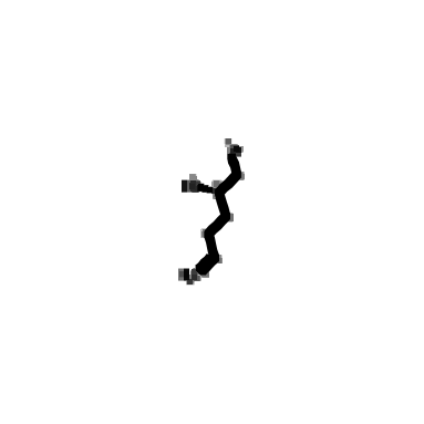 C=CCC[C@H](O)CC(C)C